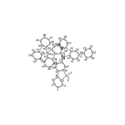 CC1(C)c2ccccc2-c2ccc(N(c3ccc(-c4ccccc4)cc3-c3ccccc3)c3cccc4c3-c3ccccc3C43c4ccccc4-c4ccccc43)cc21